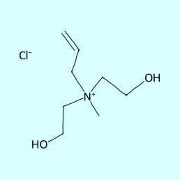 C=CC[N+](C)(CCO)CCO.[Cl-]